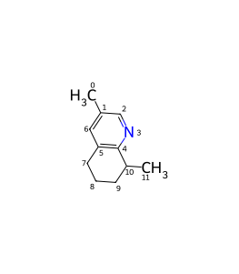 Cc1cnc2c(c1)CCCC2C